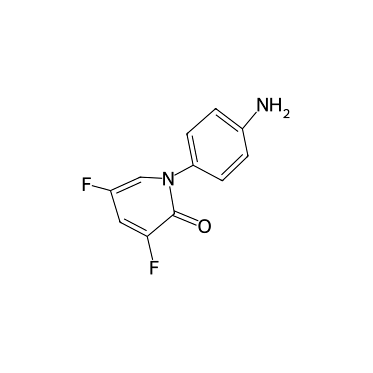 Nc1ccc(-n2cc(F)cc(F)c2=O)cc1